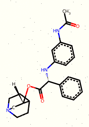 CC(=O)Nc1cccc(N[C@@H](C(=O)O[C@H]2CN3CCC2CC3)c2ccccc2)c1